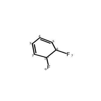 F[C]1C=CC=[C]C1F